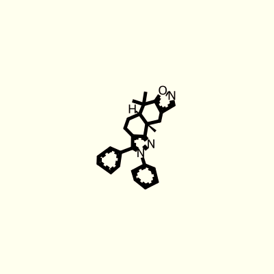 CC1(C)c2oncc2C[C@]2(C)c3nn(-c4ccccc4)c(-c4ccccc4)c3CC[C@@H]12